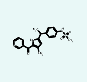 Cc1cc(C(C)c2ccc(NS(C)(=O)=O)cc2)[nH]c1C(=O)c1cccnc1